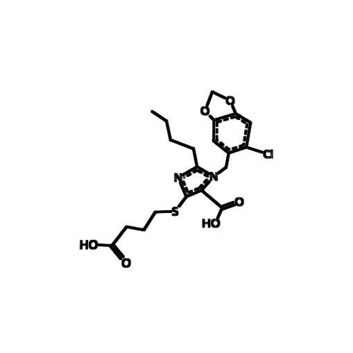 CCCCc1nc(SCCCC(=O)O)c(C(=O)O)n1Cc1cc2c(cc1Cl)OCO2